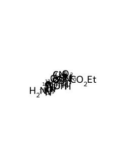 CCOC(=O)[C@H](C)N[PH](=O)OC[C@@]1(C#N)O[C@@H](c2ccc3c(N)ncnn23)[C@H](O)[C@@H]1O